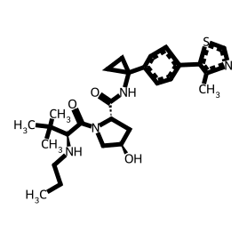 CCCN[C@H](C(=O)N1C[C@H](O)C[C@H]1C(=O)NC1(c2ccc(-c3scnc3C)cc2)CC1)C(C)(C)C